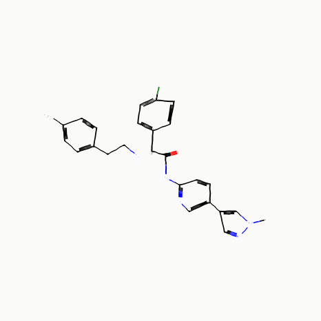 Cn1cc(-c2ccc(NC(=O)[C@H](NCCc3ccc(C#N)cc3)c3ccc(F)cc3)nc2)cn1